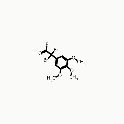 COc1cc(C(Br)(Br)C(=O)F)cc(OC)c1OC